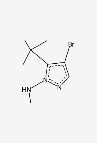 CNn1ncc(Br)c1C(C)(C)C